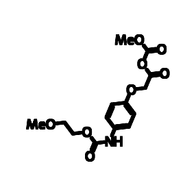 COCCOC(=O)Nc1ccc(OCC(=O)OC(=O)OC)cc1